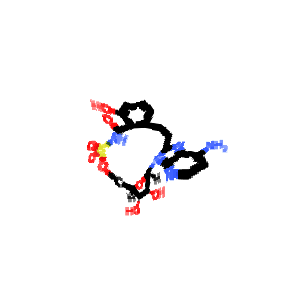 Nc1ccnc2c1nc1n2[C@@H]2O[C@H](COS(=O)(=O)NC(=O)c3c(O)cccc3CC1)[C@@H](O)[C@H]2O